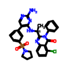 C[C@H](Nc1nc(N)ncc1-c1cccc(S(=O)(=O)N2CCCC2)c1)c1nc2cccc(Cl)c2c(=O)n1-c1ccccc1